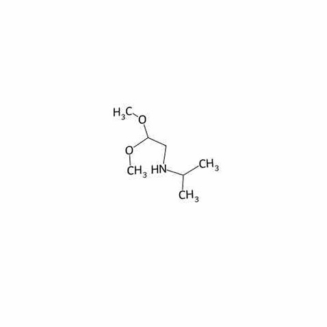 COC(CNC(C)C)OC